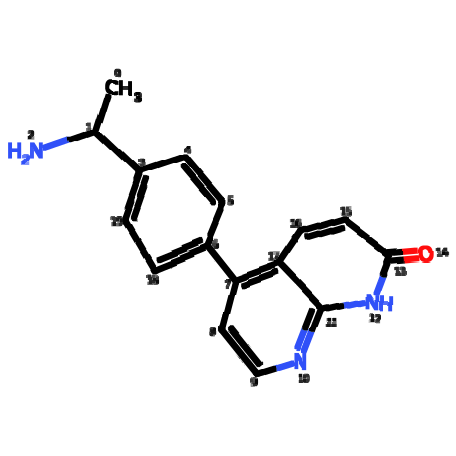 CC(N)c1ccc(-c2ccnc3[nH]c(=O)ccc23)cc1